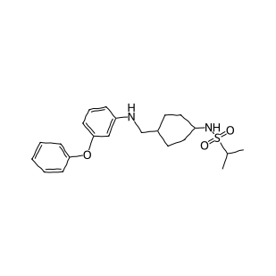 CC(C)S(=O)(=O)NC1CCC(CNc2cccc(Oc3ccccc3)c2)CC1